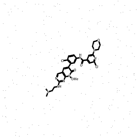 COn1c(=O)c(-c2cc(NC(=O)c3cc(Cl)nc(N4CCOCC4)c3)ccc2Cl)cc2cnc(NCCN(C)C)nc21